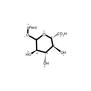 CCCCCOC1O[C@H](C(=O)O)[C@@H](O)[C@H](O)[C@H]1O